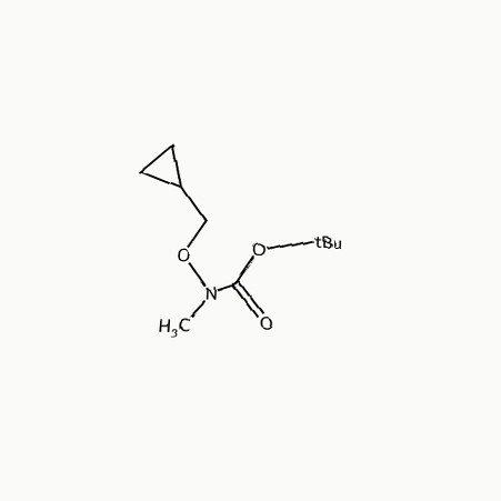 CN(OCC1CC1)C(=O)OC(C)(C)C